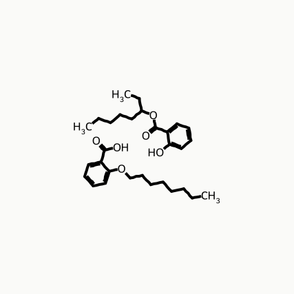 CCCCCC(CC)OC(=O)c1ccccc1O.CCCCCCCCOc1ccccc1C(=O)O